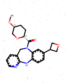 CC(C)O[C@H]1CC[C@H](C(=O)N2Cc3cccnc3Nc3ccc(C4COC4)cc32)OC1